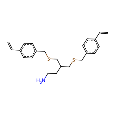 C=Cc1ccc(CSCC(CCN)CSCc2ccc(C=C)cc2)cc1